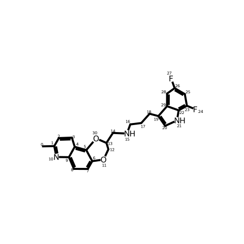 Cc1ccc2c3c(ccc2n1)OCC(CNCCCc1c[nH]c2c(F)cc(F)cc12)O3